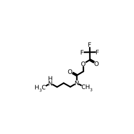 CNCCCN(C)C(=O)COC(=O)C(F)(F)F